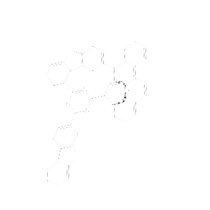 c1ccc(-c2nc(-c3ccc4c(c3)oc3ccccc34)nc(-c3cccc4sc5ccc(-c6cc7c8ccccc8ccc7c7ccccc67)cc5c34)n2)cc1